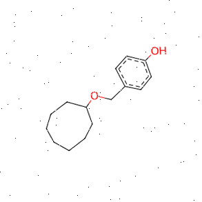 Oc1ccc(COC2CCCCCCC2)cc1